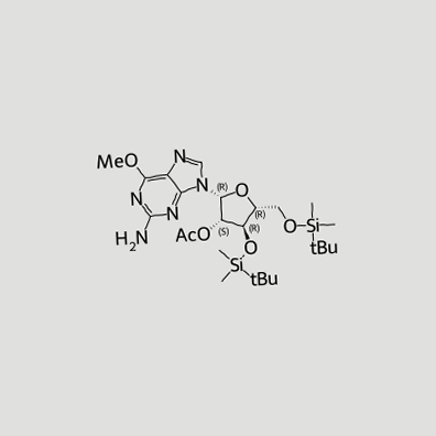 COc1nc(N)nc2c1ncn2[C@@H]1O[C@H](CO[Si](C)(C)C(C)(C)C)[C@@H](O[Si](C)(C)C(C)(C)C)[C@@H]1OC(C)=O